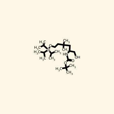 CC(C)[Si](OCCC(C)(C)CC(CO)NC(=O)OC(C)(C)C)(C(C)C)C(C)C